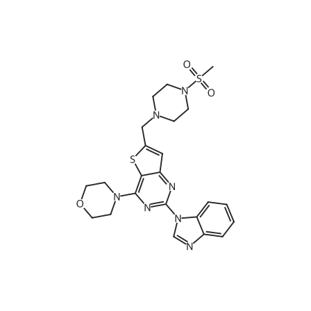 CS(=O)(=O)N1CCN(Cc2cc3nc(-n4cnc5ccccc54)nc(N4CCOCC4)c3s2)CC1